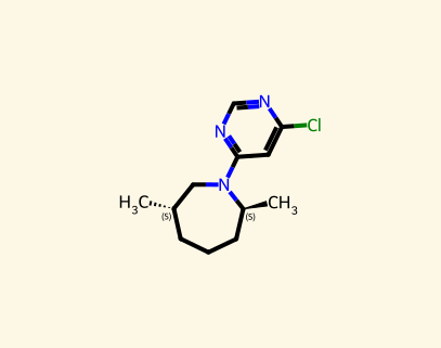 C[C@H]1CCC[C@H](C)N(c2cc(Cl)ncn2)C1